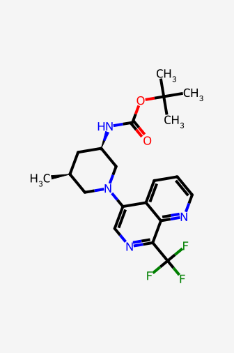 C[C@H]1C[C@@H](NC(=O)OC(C)(C)C)CN(c2cnc(C(F)(F)F)c3ncccc23)C1